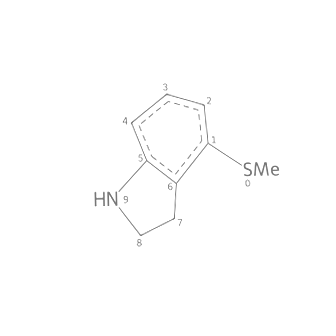 CSc1cccc2c1CCN2